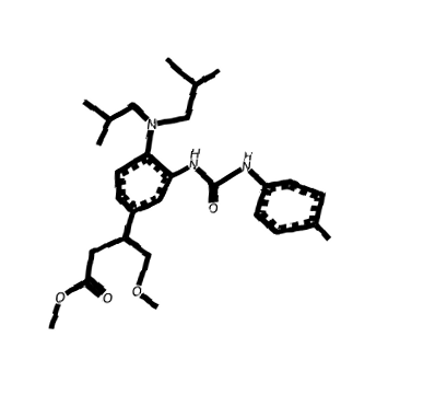 COCC(CC(=O)OC)c1ccc(N(CC(C)C)CC(C)C)c(NC(=O)Nc2ccc(C)cc2)c1